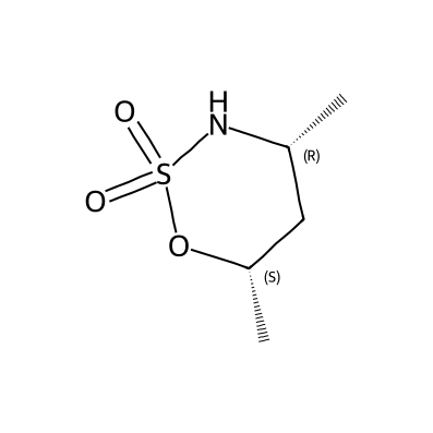 C[C@@H]1C[C@H](C)OS(=O)(=O)N1